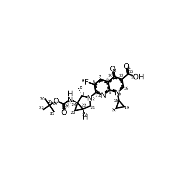 C[C@@H]1N(c2nc3c(cc2F)c(=O)c(C(=O)O)cn3C2CC2)C[C@@H]2C[C@@]21NC(=O)OC(C)(C)C